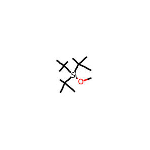 CO[Si](C(C)(C)C)(C(C)(C)C)C(C)(C)C